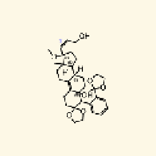 CO[C@@]1(/C=C\CO)CC[C@H]2[C@@H]3CC[C@]4(O)C(=C3CCC21C)CCC1(OCCO1)C4c1ccccc1C1(C)OCCO1